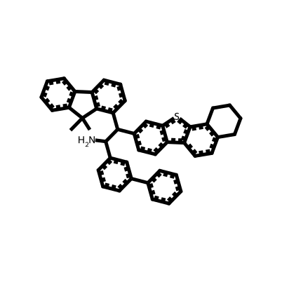 CC1(C)c2ccccc2-c2cccc(C(c3ccc4c(c3)sc3c5c(ccc34)CCCC5)C(N)c3cccc(-c4ccccc4)c3)c21